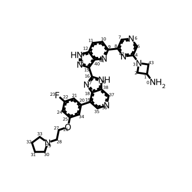 NC1CN(c2cncc(-c3ccc4[nH]nc(-c5nc6c(-c7cc(F)cc(OCCN8CCCC8)c7)cncc6[nH]5)c4n3)n2)C1